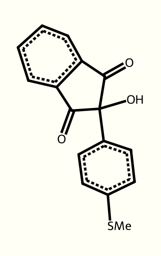 CSc1ccc(C2(O)C(=O)c3ccccc3C2=O)cc1